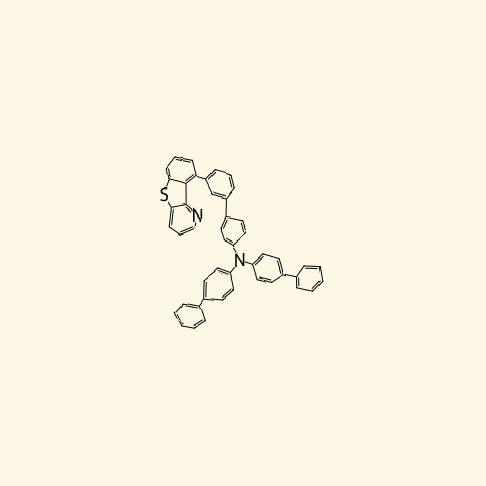 c1ccc(-c2ccc(N(c3ccc(-c4ccccc4)cc3)c3ccc(-c4cccc(-c5cccc6sc7cccnc7c56)c4)cc3)cc2)cc1